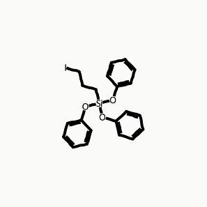 ICCC[Si](Oc1ccccc1)(Oc1ccccc1)Oc1ccccc1